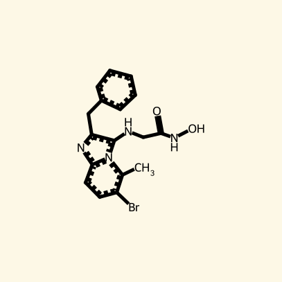 Cc1c(Br)ccc2nc(Cc3ccccc3)c(NCC(=O)NO)n12